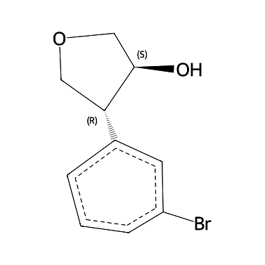 O[C@@H]1COC[C@H]1c1cccc(Br)c1